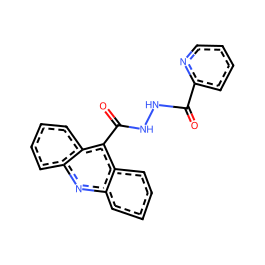 O=C(NNC(=O)c1c2ccccc2nc2ccccc12)c1ccccn1